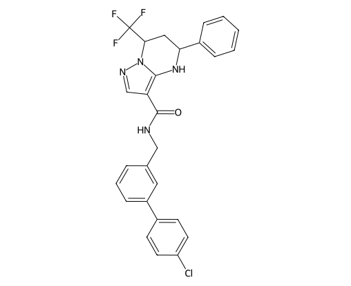 O=C(NCc1cccc(-c2ccc(Cl)cc2)c1)c1cnn2c1NC(c1ccccc1)CC2C(F)(F)F